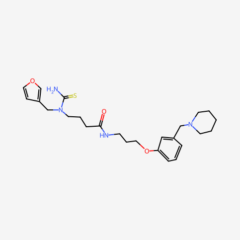 NC(=S)N(CCCC(=O)NCCCOc1cccc(CN2CCCCC2)c1)Cc1ccoc1